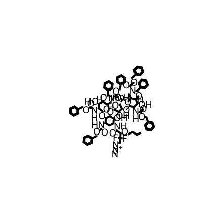 CCCCO[C@H](C(=O)N[C@@H]1C[C@H](NC(=O)OCc2ccccc2)[C@@H](O[C@H]2O[C@@H]3CN(C(=O)OCc4ccccc4)C(c4ccccc4)O[C@H]3[C@@H](O)[C@H]2NC(=O)OCc2ccccc2)[C@H](O[C@@H]2O[C@H](CO)[C@@H](O[C@H]3O[C@H]4CN(C(=O)OCc5ccccc5)C(c5ccccc5)O[C@H]4[C@H](O)[C@H]3NC(=O)OCc3ccccc3)[C@H]2O)[C@H]1O)C(F)(F)CN=[N+]=[N-]